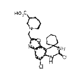 O=C1Nc2c(Cl)cc3nc(CN4CCCC(C(=O)O)C4)oc3c2C2(CCCCC2)N1